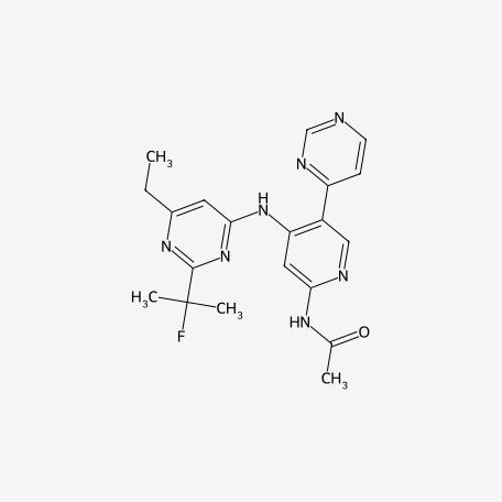 CCc1cc(Nc2cc(NC(C)=O)ncc2-c2ccncn2)nc(C(C)(C)F)n1